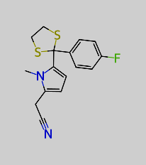 Cn1c(CC#N)ccc1C1(c2ccc(F)cc2)SCCS1